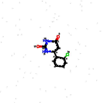 O=c1cc(-c2ccccc2Cl)[nH]c(=O)[nH]1